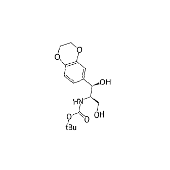 CC(C)(C)OC(=O)N[C@H](CO)[C@H](O)c1ccc2c(c1)OCCO2